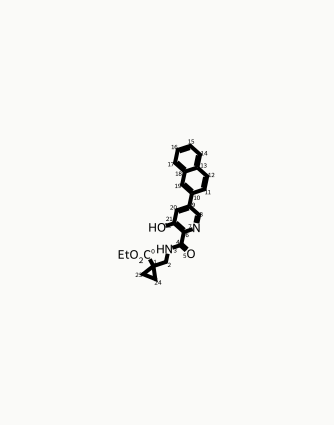 CCOC(=O)C1(CNC(=O)c2ncc(-c3ccc4ccccc4c3)cc2O)CC1